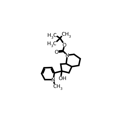 CN1CC=CC=C1C1(O)CC2CCCN(C(=O)OC(C)(C)C)C2C1